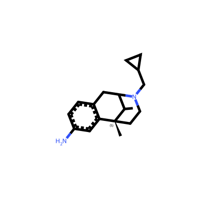 CC1C2Cc3ccc(N)cc3[C@@]1(C)CCN2CC1CC1